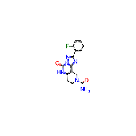 NC(=O)N1CCc2[nH]c(=O)n3nc(-c4ccccc4F)nc3c2C1